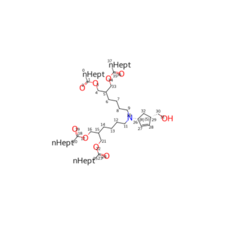 CCCCCCCC(=O)OCC(CCCCN(CCCCC(COC(=O)CCCCCCC)COC(=O)CCCCCCC)[C@H]1C=C[C@@H](CO)C1)COC(=O)CCCCCCC